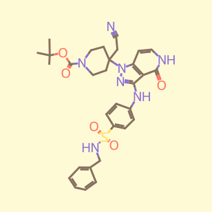 CC(C)(C)OC(=O)N1CCC(CC#N)(n2nc(Nc3ccc(S(=O)(=O)NCc4ccccc4)cc3)c3c(=O)[nH]ccc32)CC1